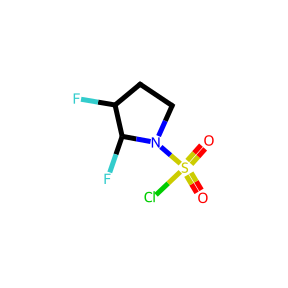 O=S(=O)(Cl)N1CCC(F)C1F